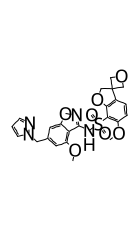 COc1ccc2c(c1S(=O)(=O)Nc1noc3cc(Cn4cccn4)cc(OC)c13)OCC21COC1